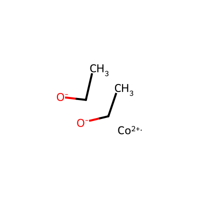 CC[O-].CC[O-].[Co+2]